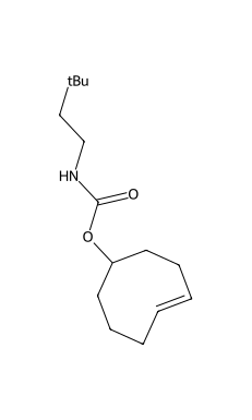 CC(C)(C)CCNC(=O)OC1CC/C=C/CCC1